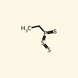 CCP(=S)=S=S